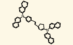 C1=C(/C=C/c2ccc(N(c3ccc4ccccc4c3)c3ccc4ccccc4c3)cc2)CCC(N(c2ccc3ccccc3c2)c2ccc3ccccc3c2)=C1